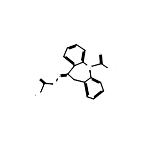 CCCC(=O)O/N=C1\Cc2ccccc2N(C(N)=O)c2ccccc21